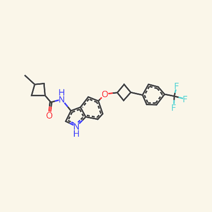 CC1CC(C(=O)Nc2c[nH]c3ccc(OC4CC(c5ccc(C(F)(F)F)cc5)C4)cc23)C1